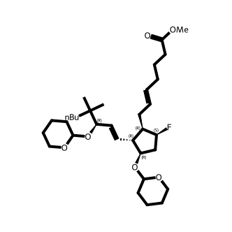 CCCCC(C)(C)[C@@H](C=C[C@@H]1[C@@H](CC=CCCCC(=O)OC)[C@@H](F)C[C@H]1OC1CCCCO1)OC1CCCCO1